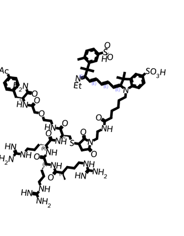 CC\N=C(/C=C/C=C/C=C1/N(CCCCCC(=O)NCCN2C(=O)CC(SC[C@@H](NC(=O)[C@@H](CCCNC(=N)N)NC(=O)[C@@H](CCCNC(=N)N)NC(=O)[C@H](C)CCCNC(=N)N)C(=O)NCCOCC(=O)N[C@@H](Cc3ccc(C(C)=O)cc3)C(N)=O)C2=O)c2ccc(S(=O)(=O)O)cc2C1(C)C)C(C)(C)c1cc([SH](=O)=O)ccc1C